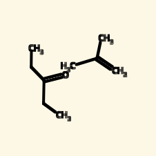 C=C(C)C.CCC(=O)CC